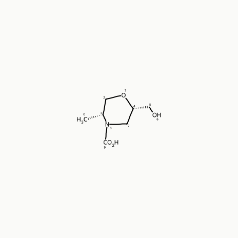 C[C@@H]1CO[C@H](CO)CN1C(=O)O